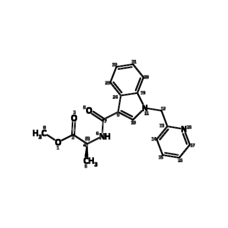 COC(=O)[C@H](C)NC(=O)c1cn(Cc2ccccn2)c2ccccc12